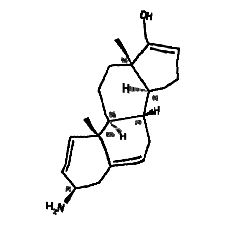 C[C@]12C=C[C@H](N)CC1=CC[C@@H]1[C@@H]2CC[C@]2(C)C(O)=CC[C@@H]12